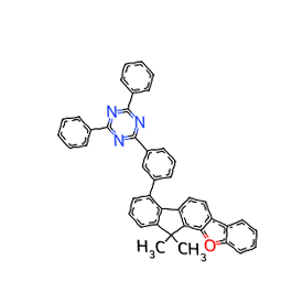 CC1(C)c2cccc(-c3cccc(-c4nc(-c5ccccc5)nc(-c5ccccc5)n4)c3)c2-c2ccc3c(oc4ccccc43)c21